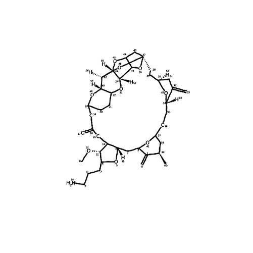 C=C1C2C[C@@H]3OC(CCCN)[C@H](OC)C3CC(=O)CC3CCC4O[C@H]5C6O[C@]7(CC[C@H]8CC(=C)[C@H](CCC(C[C@H]1C)O2)O8)CC6O[C@H]5[C@@H](O7)[C@H]4O3